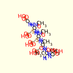 CC(=O)Nc1cc(N=Nc2cc(SCCCS(=O)(=O)O)c(N=Nc3cc(OCCCS(=O)(=O)O)c(N=Nc4c(C)c(C#N)c5nc6ccc(S(=O)(=O)O)c(C)c6n5c4O)cc3C)cc2NC(C)=O)c(SCCCS(=O)(=O)O)cc1N=Nc1ccc(S(=O)(=O)O)cc1